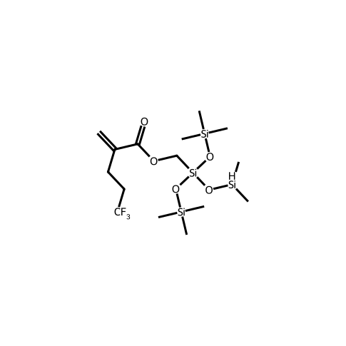 C=C(CCC(F)(F)F)C(=O)OC[Si](O[SiH](C)C)(O[Si](C)(C)C)O[Si](C)(C)C